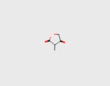 CCCC1C(=O)COC1=O